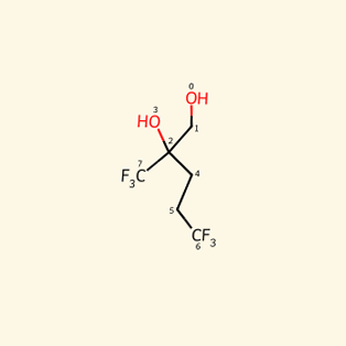 OCC(O)(CCC(F)(F)F)C(F)(F)F